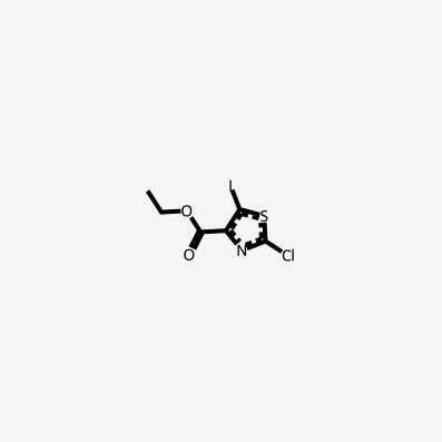 CCOC(=O)c1nc(Cl)sc1I